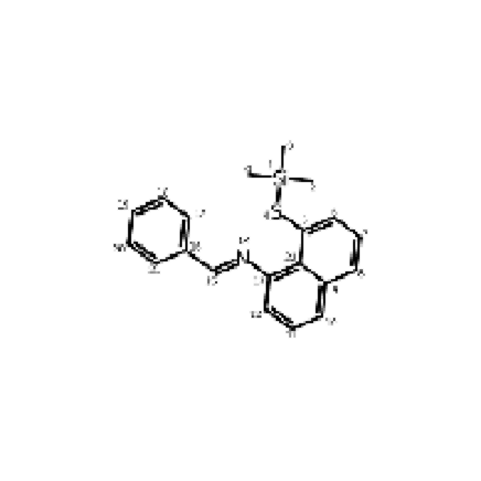 C[Si](C)(C)Sc1cccc2cccc(N=Cc3ccccc3)c12